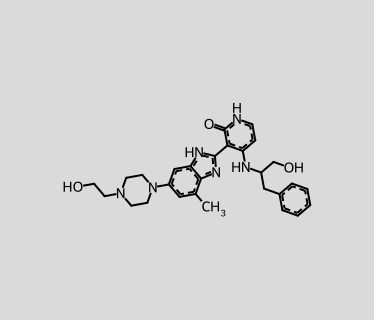 Cc1cc(N2CCN(CCO)CC2)cc2[nH]c(-c3c(NC(CO)Cc4ccccc4)cc[nH]c3=O)nc12